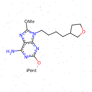 CCC[C@@H](C)Oc1nc(N)c2nc(OC)n(CCCCC3CCOC3)c2n1